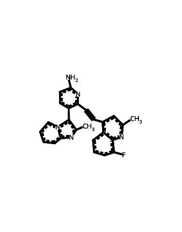 Cc1cc(C#Cc2nc(N)ccc2-c2c(C)nc3ccccn23)c2cccc(F)c2n1